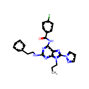 CCCn1c(-n2cccn2)nc2c(NC(=O)c3ccc(F)cc3)nc(NCCc3ccccc3)nc21